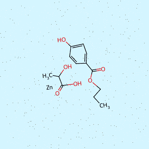 CC(O)C(=O)O.CCCOC(=O)c1ccc(O)cc1.[Zn]